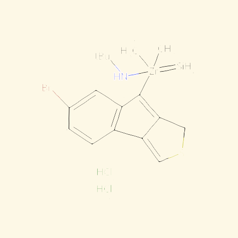 CC(C)(C)[NH][Zr]([CH3])([CH3])(=[SiH2])[C]1=C2CSC=C2c2ccc(Br)cc21.Cl.Cl